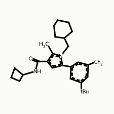 Cc1c(C(=O)NC2CCC2)cc(-c2cc(C(C)(C)C)cc(C(F)(F)F)c2)n1CC1CCCCC1